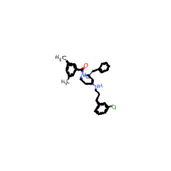 Cc1cc(C)cc(C(=O)N2CC[C@H](NCCCc3cccc(Cl)c3)C[C@@H]2Cc2ccccc2)c1